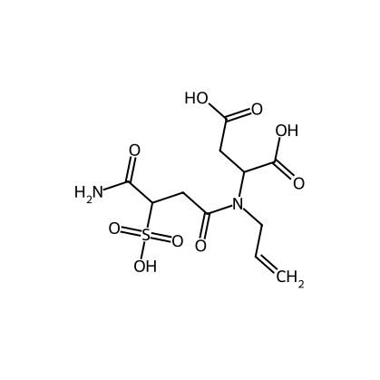 C=CCN(C(=O)CC(C(N)=O)S(=O)(=O)O)C(CC(=O)O)C(=O)O